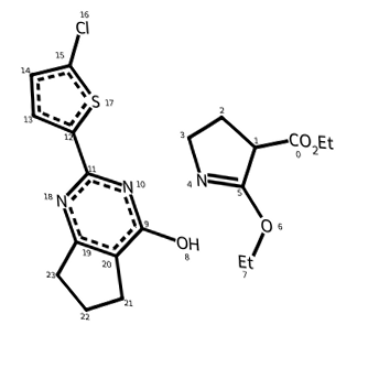 CCOC(=O)C1CCN=C1OCC.Oc1nc(-c2ccc(Cl)s2)nc2c1CCC2